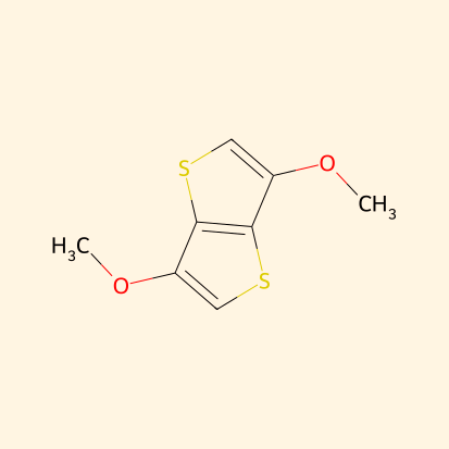 COc1csc2c(OC)csc12